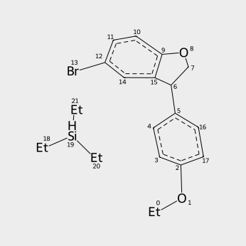 CCOc1ccc(C2COc3ccc(Br)cc32)cc1.CC[SiH](CC)CC